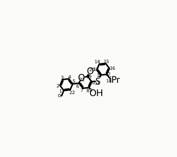 Cc1cccc(-c2cc(O)c(Sc3ccccc3C(C)C)c(=O)o2)c1